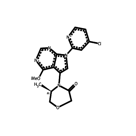 COc1ncnc2c1c(N1C(=O)COC[C@H]1C)cn2-c1cc(Cl)ccn1